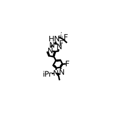 Cc1nc2c(F)cc(-c3ccn4nc(N[C@H](C)C(C)(F)F)ncc34)cc2n1C(C)C